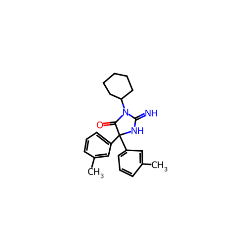 Cc1cccc(C2(c3cccc(C)c3)NC(=N)N(C3CCCCC3)C2=O)c1